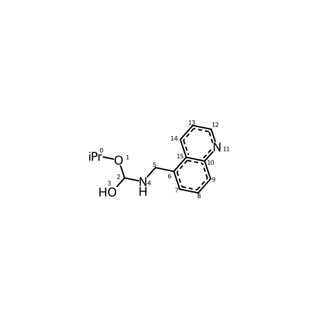 CC(C)OC(O)NCc1cccc2ncccc12